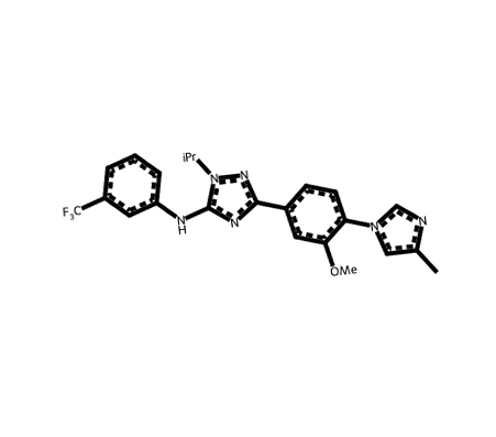 COc1cc(-c2nc(Nc3cccc(C(F)(F)F)c3)n(C(C)C)n2)ccc1-n1cnc(C)c1